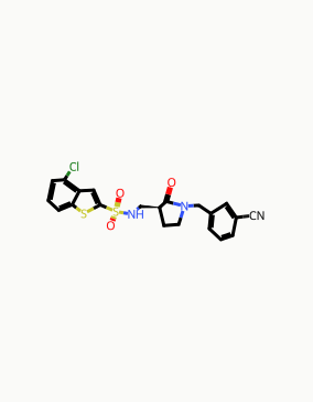 N#Cc1cccc(CN2CC[C@@H](CNS(=O)(=O)c3cc4c(Cl)cccc4s3)C2=O)c1